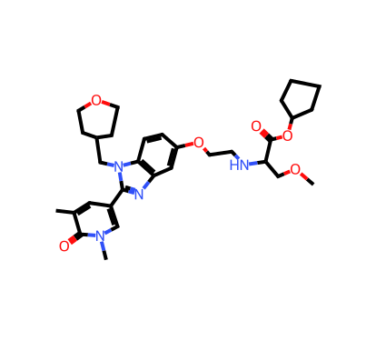 COCC(NCCOc1ccc2c(c1)nc(-c1cc(C)c(=O)n(C)c1)n2CC1CCOCC1)C(=O)OC1CCCC1